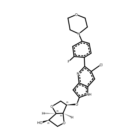 O[C@@H]1CO[C@H]2[C@@H]1OC[C@H]2Oc1cc2nc(-c3ccc(N4CCOCC4)cc3F)c(Cl)cc2[nH]1